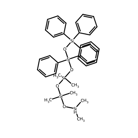 C[SiH](C)O[Si](C)(C)O[Si](C)(C)O[Si](O[Si](c1ccccc1)(c1ccccc1)c1ccccc1)(c1ccccc1)c1ccccc1